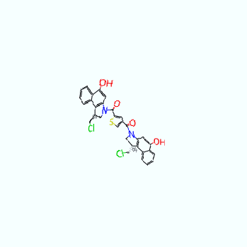 O=C(c1csc(C(=O)N2C[C@@H](CCl)c3c2cc(O)c2ccccc32)c1)N1C[C@@H](CCl)c2c1cc(O)c1ccccc21